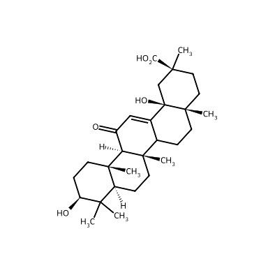 CC1(C)[C@@H](O)CC[C@]2(C)[C@H]3C(=O)C=C4C(CC[C@@]5(C)CC[C@](C)(C(=O)O)C[C@@]45O)[C@]3(C)CC[C@@H]12